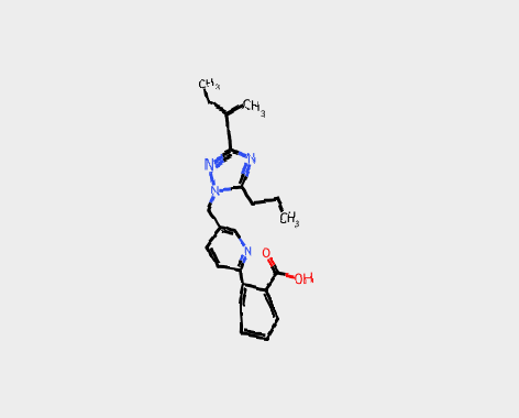 CCCc1nc(C(C)CC)nn1Cc1ccc(-c2ccccc2C(=O)O)nc1